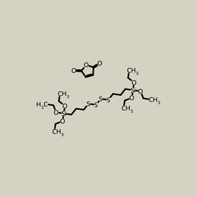 CCO[Si](CCCSSSSCCC[Si](OCC)(OCC)OCC)(OCC)OCC.O=C1C=CC(=O)O1